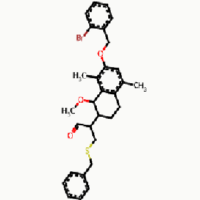 COC1c2c(C)c(OCc3ccccc3Br)cc(C)c2CCC1C(C=O)CSCc1ccccc1